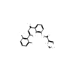 O=C(Nc1cccc2c(=O)cc(-c3c(Cl)cccc3Cl)oc12)c1cscn1